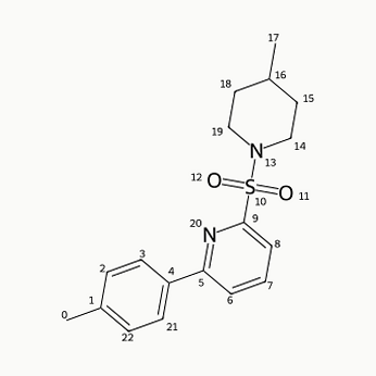 Cc1ccc(-c2cccc(S(=O)(=O)N3CCC(C)CC3)n2)cc1